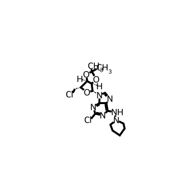 CC1(C)O[C@@H]2[C@H](O1)[C@@H](CCl)O[C@H]2n1cnc2c(NN3CCCCC3)nc(Cl)nc21